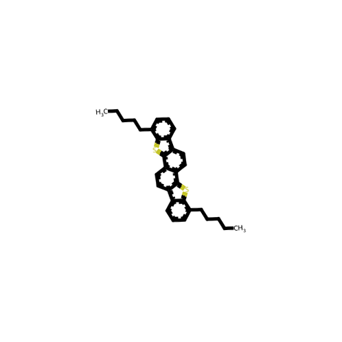 CCCCCc1cccc2c1sc1c2ccc2c1ccc1c3cccc(CCCCC)c3sc12